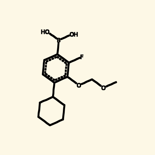 COCOc1c(C2CCCCC2)ccc(B(O)O)c1F